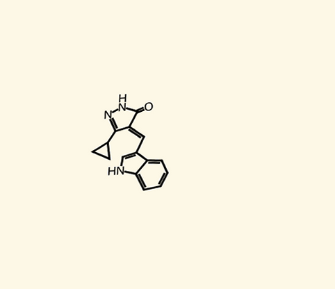 O=C1NN=C(C2CC2)C1=Cc1c[nH]c2ccccc12